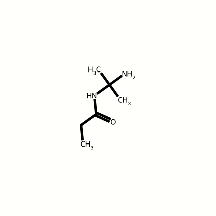 CCC(=O)NC(C)(C)N